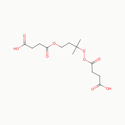 CC(C)(CCOC(=O)CCC(=O)O)OOC(=O)CCC(=O)O